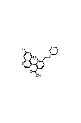 Nc1c(CCN2CCCCC2)ccc(C(=O)O)c1-c1ccnc2cc(Cl)ccc12